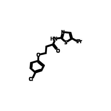 CC(C)c1cnc(NC(=O)CCOc2ccc(Cl)cc2)s1